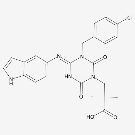 CC(C)(Cn1c(=O)[nH]/c(=N\c2ccc3[nH]ccc3c2)n(Cc2ccc(Cl)cc2)c1=O)C(=O)O